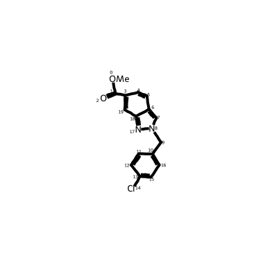 COC(=O)c1ccc2cn(Cc3ccc(Cl)cc3)nc2c1